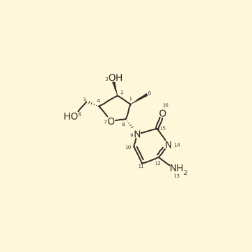 C[C@@H]1[C@H](O)[C@@H](CO)O[C@H]1n1ccc(N)nc1=O